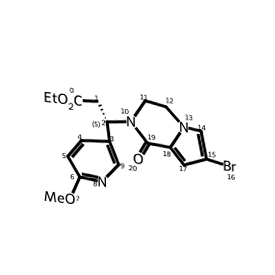 CCOC(=O)C[C@@H](c1ccc(OC)nc1)N1CCn2cc(Br)cc2C1=O